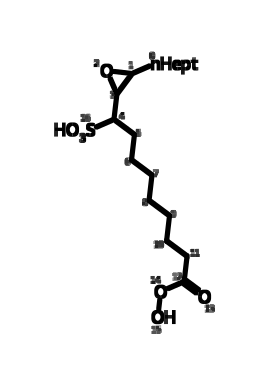 CCCCCCCC1OC1C(CCCCCCCC(=O)OO)S(=O)(=O)O